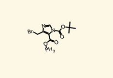 CC(C)(C)OC(=O)n1cnc(CBr)c1C(=O)OP